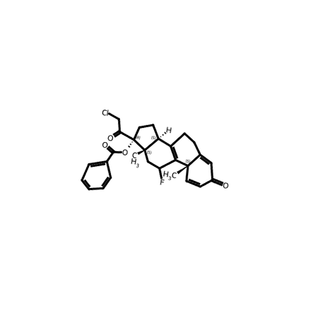 C[C@]12C=CC(=O)C=C1CCC1=C2C(F)C[C@@]2(C)[C@H]1CC[C@]2(OC(=O)c1ccccc1)C(=O)CCl